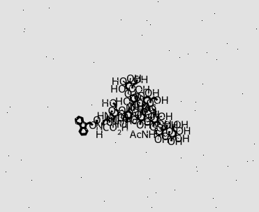 CC(=O)NC1C(O)[C@H](O[C@@H]2OC(CO)[C@H](O)[C@H](O)C2O)[C@H](CO)O[C@H]1OC1[C@@H](OCC2O[C@@H](O[C@@H]3C(CO)O[C@@H](O[C@@H]4C(CO)O[C@@H](NC(=O)CC(NC(=O)OCC5c6ccccc6-c6ccccc65)C(=O)O)C(NC(C)=O)[C@H]4O)C(NC(C)=O)[C@H]3O)C(O)[C@@H](O[C@H]3OC(CO)[C@@H](O)C(O)C3O[C@@H]3OC(CO)[C@@H](O[C@@H]4OC(CO)[C@H](O)[C@H](O)C4O)[C@H](O)C3NC(C)=O)[C@@H]2O)OC(CO)[C@@H](O)[C@@H]1O